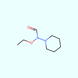 CCON(C=O)N1CCCCC1